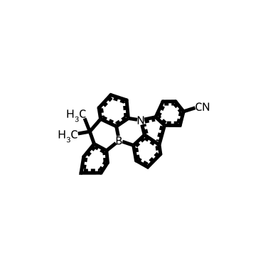 CC1(C)c2ccccc2B2c3c(cccc31)-n1c3ccc(C#N)cc3c3cccc2c31